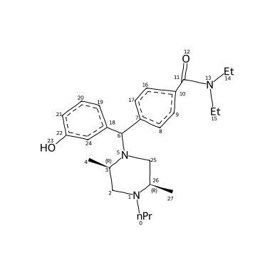 CCCN1C[C@@H](C)N(C(c2ccc(C(=O)N(CC)CC)cc2)c2cccc(O)c2)C[C@H]1C